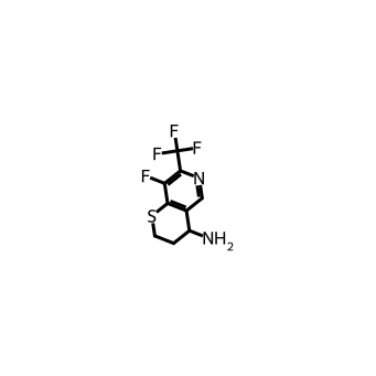 NC1CCSc2c1cnc(C(F)(F)F)c2F